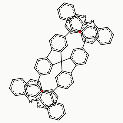 c1ccc2c(-c3ccc4c(c3)C3(c5cc(-c6c7ccccc7nc7ccccc67)ccc5-4)c4cc(-c5c6ccccc6nc6ccccc56)ccc4-c4ccc(-c5c6ccccc6nc6ccccc56)cc43)c3ccccc3nc2c1